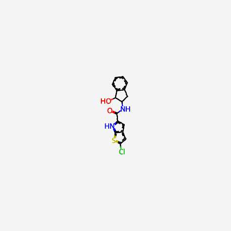 O=C(NC1Cc2ccccc2C1O)c1cc2cc(Cl)sc2[nH]1